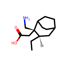 CC[C@@H]1CC2CCC(CC2)[C@@]1(CN)CC(=O)O